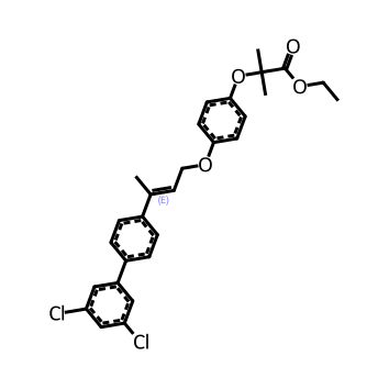 CCOC(=O)C(C)(C)Oc1ccc(OC/C=C(\C)c2ccc(-c3cc(Cl)cc(Cl)c3)cc2)cc1